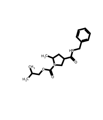 CC(C)COC(=O)N1CC(C(=O)NCc2ccccc2)CC1C